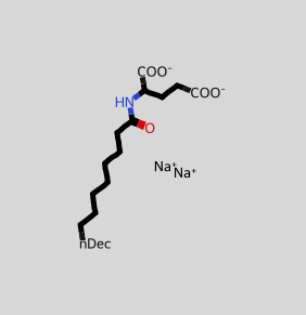 CCCCCCCCCCCCCCCCCC(=O)NC(CCC(=O)[O-])C(=O)[O-].[Na+].[Na+]